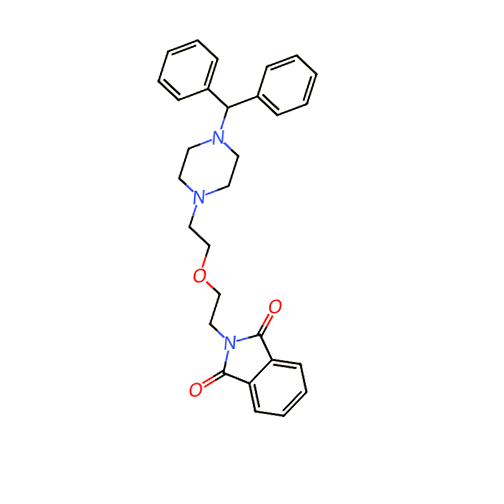 O=C1c2ccccc2C(=O)N1CCOCCN1CCN(C(c2ccccc2)c2ccccc2)CC1